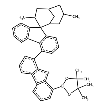 CC1CC2CC(C)C3(c4ccccc4-c4c(-c5cccc6c5sc5c(B7OC(C)(C)C(C)(C)O7)cccc56)cccc43)C(C1)C2